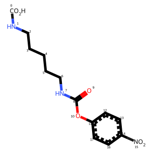 O=C(O)NCCCCCNC(=O)Oc1ccc([N+](=O)[O-])cc1